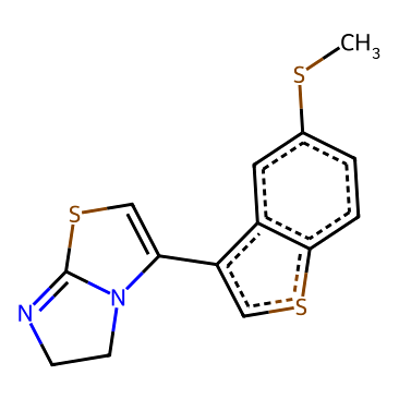 CSc1ccc2scc(C3=CSC4=NCCN34)c2c1